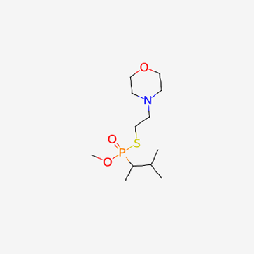 COP(=O)(SCCN1CCOCC1)C(C)C(C)C